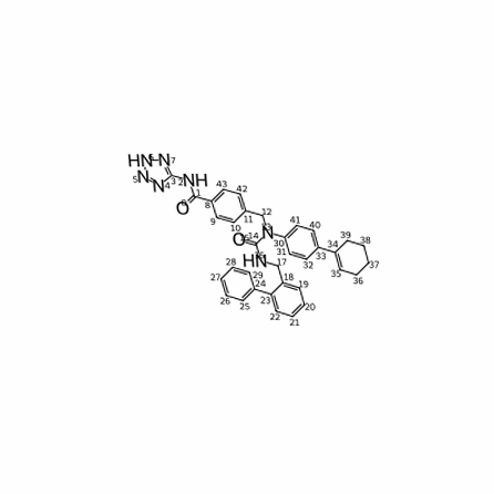 O=C(Nc1nn[nH]n1)c1ccc(CN(C(=O)NCc2ccccc2-c2ccccc2)c2ccc(C3=CCCCC3)cc2)cc1